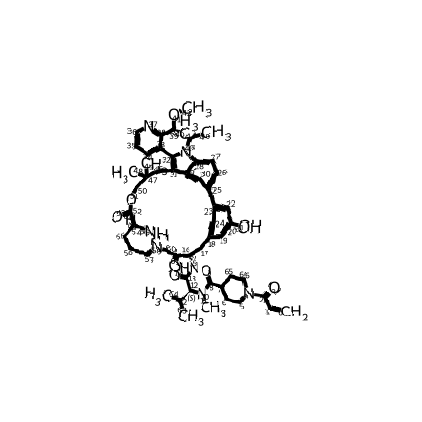 C=CC(=O)N1CCC(C(=O)N(C)[C@H](C(=O)N[C@H]2Cc3cc(O)cc(c3)-c3ccc4c(c3)c(c(-c3cccnc3[C@H](C)OC)n4CC)CC(C)(C)COC(=O)[C@@H]3CCCN(N3)C2=O)C(C)C)CC1